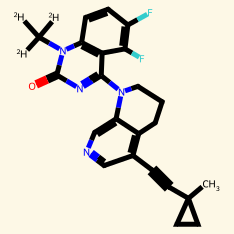 [2H]C([2H])([2H])n1c(=O)nc(N2CCCc3c(C#CC4(C)CC4)cncc32)c2c(F)c(F)ccc21